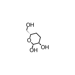 OC[C@@H]1CC[C@@H](O)[C@@H](O)O1